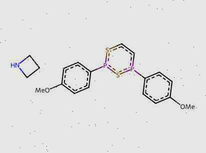 C1CNC1.COc1ccc(-p2ccsp(-c3ccc(OC)cc3)s2)cc1